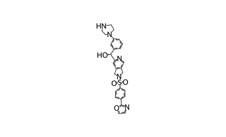 O=S(=O)(c1ccc(-c2ncco2)cc1)N1Cc2cnc([C@@H](O)c3cccc(N4CCNCC4)c3)cc2C1